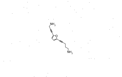 NCC#Cc1ccc(C#CCCCN)o1